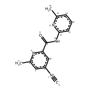 [C-]#[N+]c1cc(C)nc(C(=O)Nc2cccc(C)n2)c1